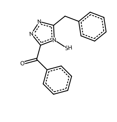 O=C(c1ccccc1)c1nnc(Cc2ccccc2)n1S